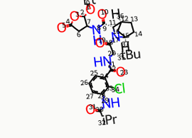 CCO[C@@H]1OC(=O)CC1NC(=O)[C@@H]1[C@H]2CC[C@H](C2)N1C(=O)[C@@H](NC(=O)c1cccc(NC(=O)C(C)C)c1Cl)C(C)(C)C